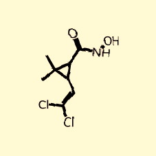 CC1(C)C(C=C(Cl)Cl)C1C(=O)NO